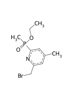 CCOP(C)(=O)c1cc(C)cc(CBr)n1